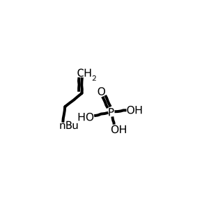 C=CCCCCC.O=P(O)(O)O